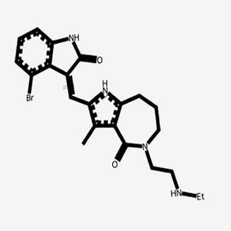 CCNCCN1CCCc2[nH]c(/C=C3\C(=O)Nc4cccc(Br)c43)c(C)c2C1=O